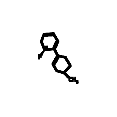 CC1CC=C(C2=CC=CC[C@H]2F)CC1